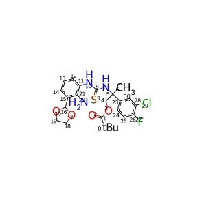 CC(C)(C)C(=O)OCC(C)(NC(=S)Nc1cccc(C2OCCO2)c1N)c1ccc(F)c(Cl)c1